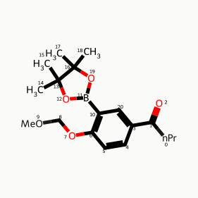 CCCC(=O)c1ccc(OCOC)c(B2OC(C)(C)C(C)(C)O2)c1